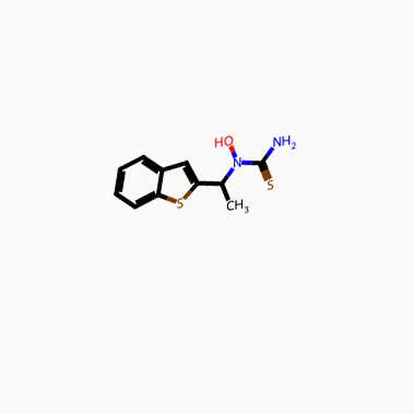 CC(c1cc2ccccc2s1)N(O)C(N)=S